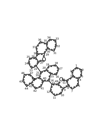 c1ccc2c(c1)ccc1c3cccc(-c4c5ccccc5c(-c5cccc6c5oc5c7ccccc7ccc65)c5c4ccc4ccccc45)c3oc21